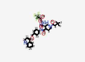 CC(C)(C)CC(=O)N1CCC(C(=O)Nc2ccc(COc3ccnc4ccccc34)cc2)[C@@H](C(=O)NOC(=O)C(F)(F)F)C1